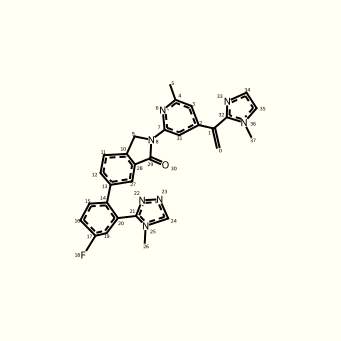 C=C(c1cc(C)nc(N2Cc3ccc(-c4ccc(F)cc4-c4nncn4C)cc3C2=O)c1)c1nccn1C